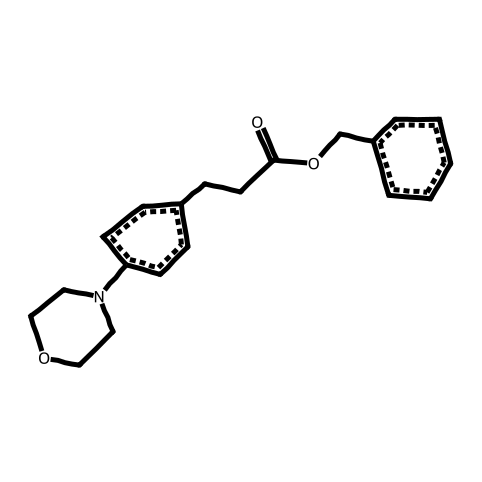 O=C(CCc1ccc(N2CCOCC2)cc1)OCc1ccccc1